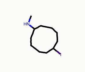 CNC1CCCCC(I)CCCC1